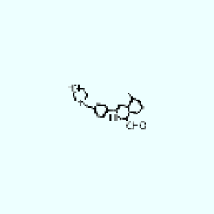 Cc1cccc2c1C=C(c1ccc(CN3CCNCC3)cc1)NC2C=O